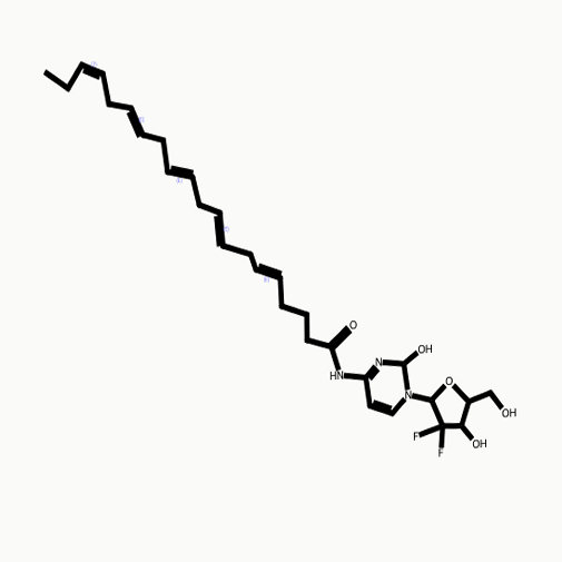 CC/C=C\C/C=C/C/C=C/C/C=C/C/C=C/CCCC(=O)NC1=NC(O)N(C2OC(CO)C(O)C2(F)F)C=C1